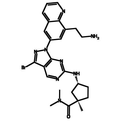 CN(C)C(=O)[C@]1(C)CC[C@@H](Nc2ncc3c(Br)nn(-c4cc(CCN)c5ncccc5c4)c3n2)C1